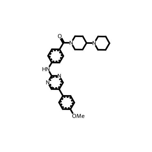 COc1ccc(-c2cnc(Nc3ccc(C(=O)N4CCC(N5CCCCC5)CC4)cc3)nc2)cc1